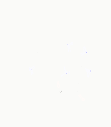 COC(=O)c1cnc(-c2ncc(C)nc2C(C)NC(=O)c2cc(C(F)(F)F)nc(C(F)(F)F)c2)s1